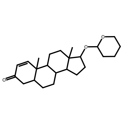 CC12C=CC(=O)CC1CCC1C2CCC2(C)C(OC3CCCCO3)CCC12